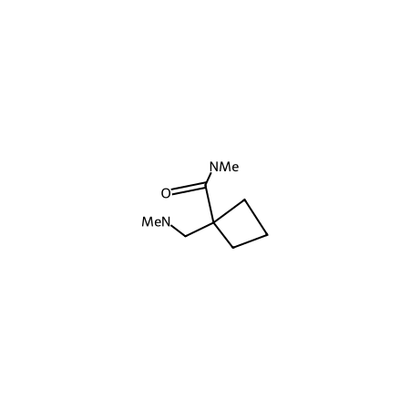 CNCC1(C(=O)NC)CCC1